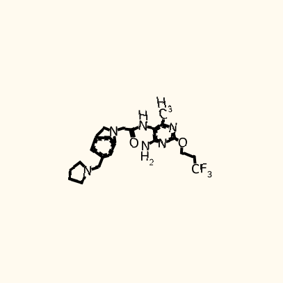 Cc1nc(OCCC(F)(F)F)nc(N)c1NC(=O)CN1Cc2cc(CN3CCCC3)cc1c2